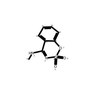 CNC1=NS(=O)(=O)Oc2ccccc21